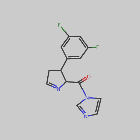 O=C(C1N=CCC1c1cc(F)cc(F)c1)n1ccnc1